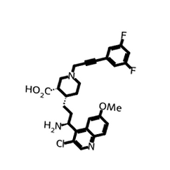 COc1ccc2ncc(Cl)c([C@@H](N)CC[C@H]3CCN(CC#Cc4cc(F)cc(F)c4)C[C@H]3C(=O)O)c2c1